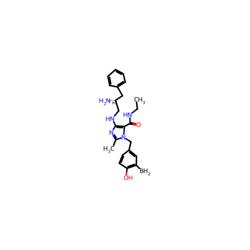 Bc1cc(Cn2c(C)nc(NC[C@H](N)Cc3ccccc3)c2C(=O)NCC)ccc1O